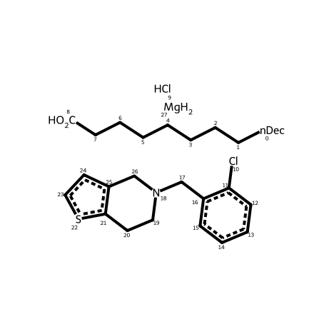 CCCCCCCCCCCCCCCCCC(=O)O.Cl.Clc1ccccc1CN1CCc2sccc2C1.[MgH2]